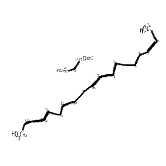 CCCCCCCC/C=C\CCCCCCCCCCCCCC(=O)O.CCCCCCCCCCCCCCCCCCCCC